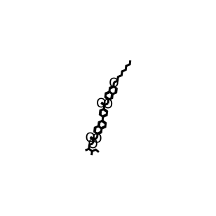 CCCCCCCCOc1ccc2cc(OC(=O)c3ccc(-c4ccc5cc(OC(=O)OCC(C)C(C)CC)ccc5c4)cc3)ccc2c1